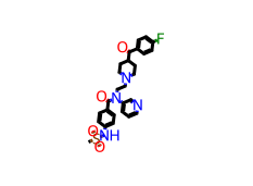 CS(=O)(=O)Nc1ccc(C(=O)N(CCN2CCC(C(=O)c3ccc(F)cc3)CC2)c2cccnc2)cc1